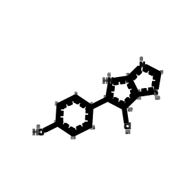 Oc1ccc(-c2[nH]c3ncsc3c2Cl)cc1